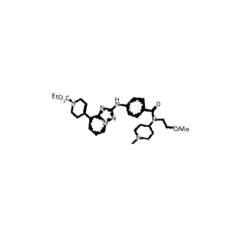 CCOC(=O)N1CC=C(c2cccn3nc(Nc4ccc(C(=O)N(CCOC)C5CCN(C)CC5)cc4)nc23)CC1